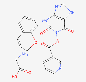 C1=Cc2ccccc2OC1.NCC(=O)O.O=C(On1c(=O)[nH]c2nc[nH]c2c1=O)c1cccnc1